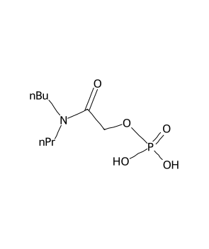 CCCCN(CCC)C(=O)COP(=O)(O)O